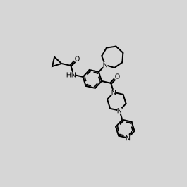 O=C(Nc1ccc(C(=O)N2CCN(c3ccncc3)CC2)c(N2CCCCCC2)c1)C1CC1